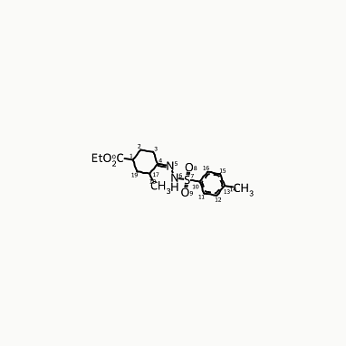 CCOC(=O)C1CCC(=NNS(=O)(=O)c2ccc(C)cc2)C(C)C1